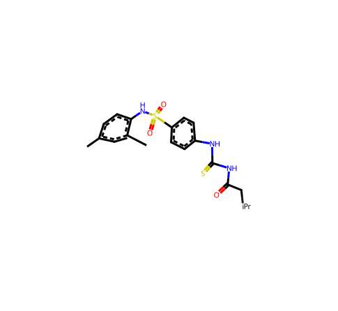 Cc1ccc(NS(=O)(=O)c2ccc(NC(=S)NC(=O)CC(C)C)cc2)c(C)c1